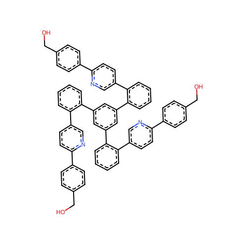 OCc1ccc(-c2ccc(-c3ccccc3-c3cc(-c4ccccc4-c4ccc(-c5ccc(CO)cc5)nc4)cc(-c4ccccc4-c4ccc(-c5ccc(CO)cc5)nc4)c3)cn2)cc1